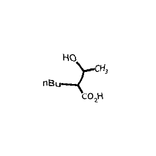 CCCCC(C(=O)O)C(C)O